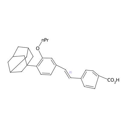 CCCOc1cc(/C=C/c2ccc(C(=O)O)cc2)ccc1C12CC3CC(CC(C3)C1)C2